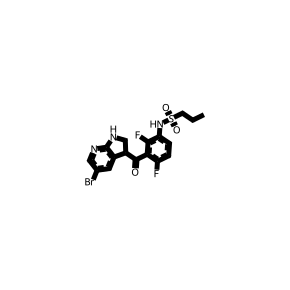 CCCS(=O)(=O)Nc1ccc(F)c(C(=O)C2CNc3ncc(Br)cc32)c1F